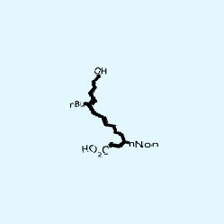 CCCCCCCCCC(CCCCCCC(CCCC)CCCCCO)CCC(=O)O